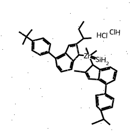 CCC(C)C1=Cc2c(-c3ccc(C(C)(C)C)cc3)cccc2[CH]1[Zr]([CH3])([CH3])(=[SiH2])[CH]1C(C)=Cc2c(-c3ccc(C(C)C)cc3)cccc21.Cl.Cl